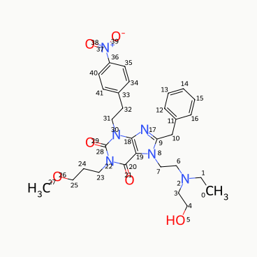 CCN(CCO)CCn1c(Cc2ccccc2)nc2c1c(=O)n(CCCOC)c(=O)n2CCc1ccc([N+](=O)[O-])cc1